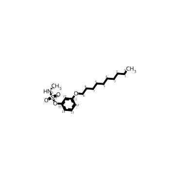 CCCCCCCCCCOc1cccc(OS(=O)(=O)NC)c1